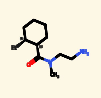 CC[C@H]1CCCC[C@H]1C(=O)N(C)CCN